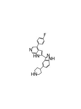 Fc1ccc(-c2cncc3[nH]c(-c4n[nH]c5ccc(C6CCNCC6)cc45)cc23)cc1